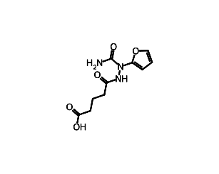 NC(=O)N(NC(=O)CCCC(=O)O)c1ccco1